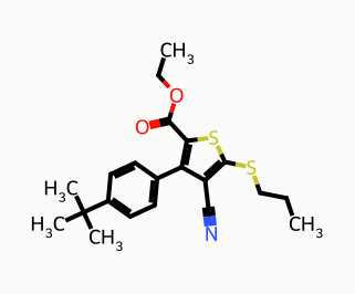 CCCSc1sc(C(=O)OCC)c(-c2ccc(C(C)(C)C)cc2)c1C#N